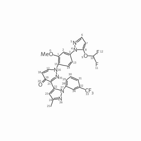 COc1cc(-n2nccc2OC(F)F)ccc1-n1ccc(=O)c(-c2cc(C)nn2-c2cccc(C(F)(F)F)c2)n1